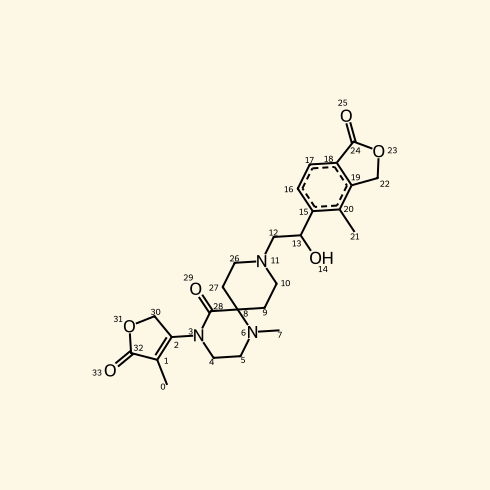 CC1=C(N2CCN(C)C3(CCN(CC(O)c4ccc5c(c4C)COC5=O)CC3)C2=O)COC1=O